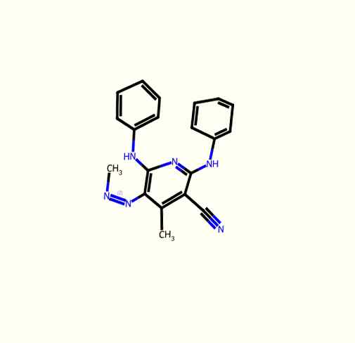 C/N=N\c1c(Nc2ccccc2)nc(Nc2ccccc2)c(C#N)c1C